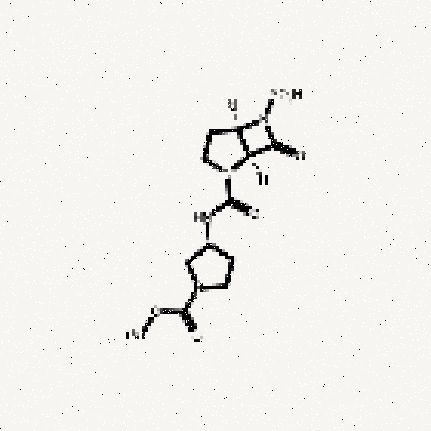 CC(C)(C)OC(=O)N1CC[C@H](NC(=O)N2CC[C@@H]3[C@H]2C(=O)N3S(=O)(=O)O)C1